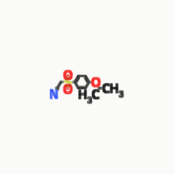 CC(C)Oc1ccc(S(=O)(=O)CC#N)cc1